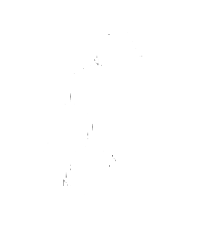 CC1CCN(Cc2ccc3nccnc3c2)C1